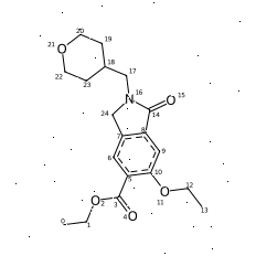 CCOC(=O)c1cc2c(cc1OCC)C(=O)N(CC1CCOCC1)C2